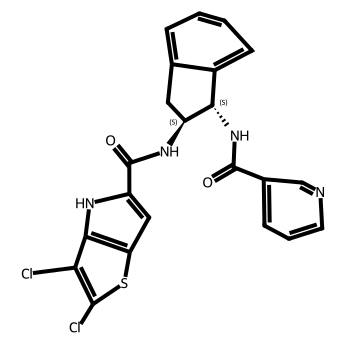 O=C(N[C@H]1c2ccccc2C[C@@H]1NC(=O)c1cc2sc(Cl)c(Cl)c2[nH]1)c1cccnc1